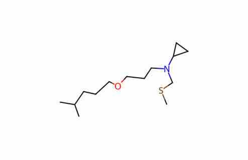 CSCN(CCCOCCCC(C)C)C1CC1